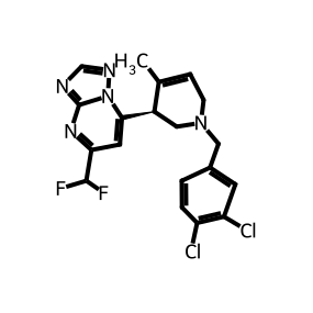 CC1=CCN(Cc2ccc(Cl)c(Cl)c2)C[C@H]1c1cc(C(F)F)nc2ncnn12